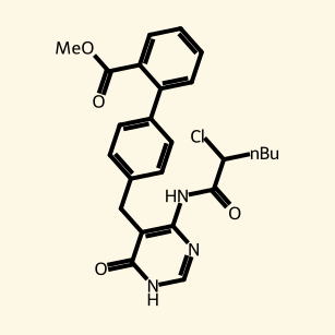 CCCCC(Cl)C(=O)Nc1nc[nH]c(=O)c1Cc1ccc(-c2ccccc2C(=O)OC)cc1